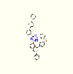 c1ccc(-c2ccc(-c3cccc(-c4nc(-c5ccccc5)nc(-c5cccc6sc7ccc(-c8cccc(-c9ccccc9)c8)cc7c56)n4)c3)cc2)cc1